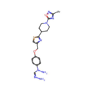 CC(C)c1noc(N2CCC(c3nc(COc4ccc(N(N)/C=N\N)cc4)cs3)CC2)n1